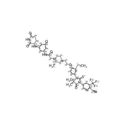 CCc1cc(N2C(=S)N(c3cnc(C#N)c(C(F)(F)F)c3)C(=O)C2(C)C)ccc1OCCN1CCN(CC(=O)Nc2cc(Cl)cc(NC3CCC(=O)NC3=O)c2)[C@@H](C)C1